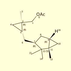 CC(=O)OC[C@]1(C)C[C@H]1C[C@H]1C[C@@H]2C[C@]2(C)C1(C)C